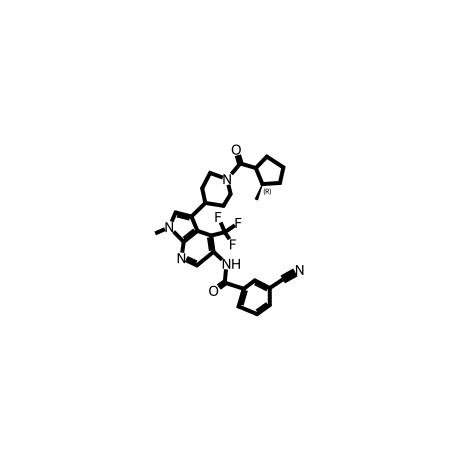 C[C@@H]1CCCC1C(=O)N1CCC(c2cn(C)c3ncc(NC(=O)c4cccc(C#N)c4)c(C(F)(F)F)c23)CC1